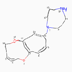 C1=COc2ccc(N3CCNCC3)cc2OC1